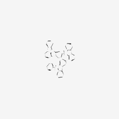 c1ccc(-n2c3ccccc3c3cc(-c4cccc5c6ccccc6n(-c6ccc7c8cccc9c%10ccccc%10n(c7c6)c98)c45)ccc32)cc1